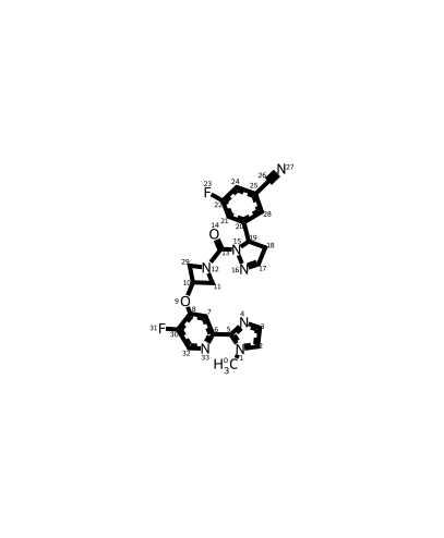 Cn1ccnc1-c1cc(OC2CN(C(=O)N3N=CCC3c3cc(F)cc(C#N)c3)C2)c(F)cn1